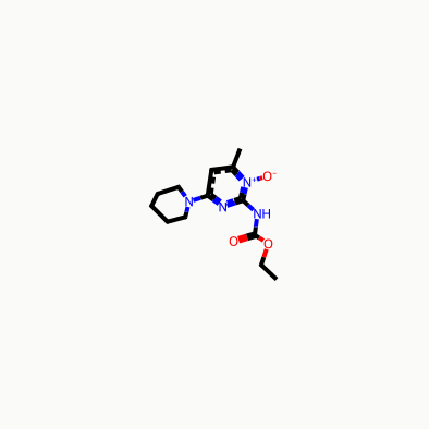 CCOC(=O)Nc1nc(N2CCCCC2)cc(C)[n+]1[O-]